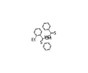 CCc1ccccc1C(O)=S.OC(=S)c1ccccc1.c1ccccc1